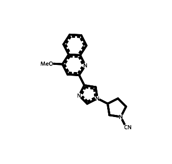 COc1cc(-c2cn(C3CCN(C#N)C3)cn2)nc2ccccc12